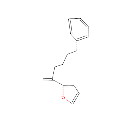 C=C(CCCCc1ccccc1)c1ccco1